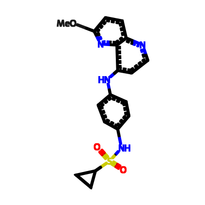 COc1ccc2nccc(Nc3ccc(NS(=O)(=O)C4CC4)cc3)c2n1